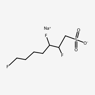 O=S(=O)([O-])CC(F)C(F)CCCCF.[Na+]